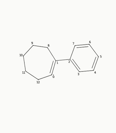 [C]1=C(c2ccccc2)CCCCC1